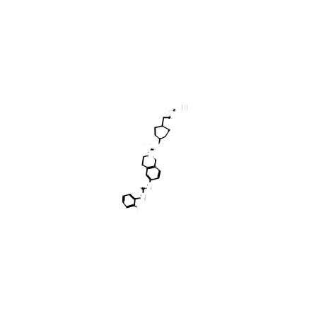 COC(=O)CC1CCC(OC(=O)N2CCc3cc(NC(=O)Nc4ccccc4F)ccc3C2)CC1